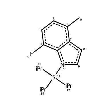 Cc1ccc(F)c2c1ccn2S(C(C)C)(C(C)C)C(C)C